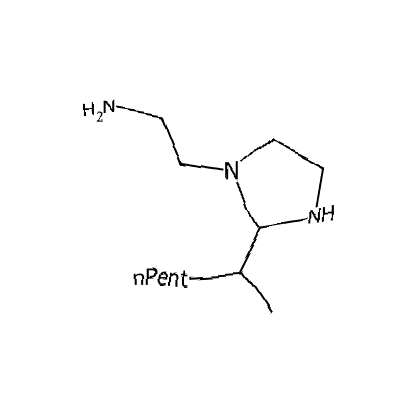 CCCCCC(C)C1NCCN1CCN